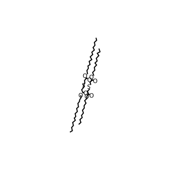 CCCCCCCCCCCCCCCCOC(=O)CCSCCC(=O)OCCCCCCCCCCCCCCCC.CCCCCCCCCCCCOC(=O)CCSCCC(=O)OCCCCCCCCCCCC